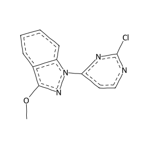 COc1nn(-c2ccnc(Cl)n2)c2ccccc12